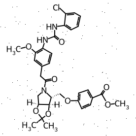 COC(=O)c1ccc(OC[C@@H]2[C@H]3OC(C)(C)O[C@H]3CN2C(=O)Cc2ccc(NC(=O)Nc3ccccc3Cl)c(OC)c2)cc1